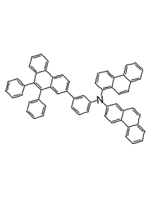 c1ccc(-c2c(-c3ccccc3)c3cc(-c4cccc(N(c5ccc6c(ccc7ccccc76)c5)c5cccc6c5ccc5ccccc56)c4)ccc3c3ccccc23)cc1